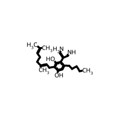 CCCCCc1cc(O)c(C/C=C(\C)CCC=C(C)C)c(O)c1/C(C=N)=C/N